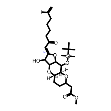 C=C(I)CCCCC(=O)/C=C1\OC2C(O[C@H]3CCC(CC(=O)OC)O[C@@H]3C2O[Si](C)(C)C(C)(C)C)C1O